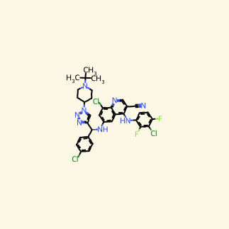 CC(C)(C)N1CCC(n2cc([C@@H](Nc3cc(Cl)c4ncc(C#N)c(Nc5ccc(F)c(Cl)c5F)c4c3)c3ccc(Cl)cc3)nn2)CC1